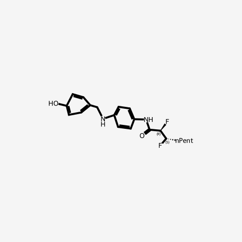 CCCCC[C@H](F)[C@H](F)C(=O)Nc1ccc(NCc2ccc(O)cc2)cc1